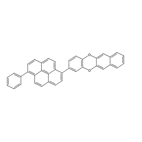 c1ccc(-c2ccc3ccc4c(-c5ccc6c(c5)Oc5cc7ccccc7cc5O6)ccc5ccc2c3c54)cc1